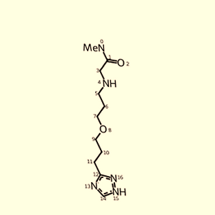 CNC(=O)CNCCCOCCCc1nc[nH]n1